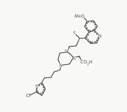 COc1ccc2nccc(C(F)CC[C@@H]3CCN(CCCCc4ccc(Cl)s4)C[C@@H]3CC(=O)O)c2c1